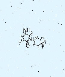 Cc1cc(N)cn(C2=CCC(F)(F)CC2)c1=O